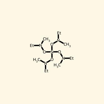 CCN(C)O[Si](ON(C)CC)(ON(C)CC)ON(C)CC